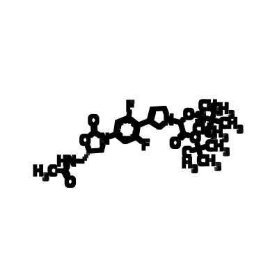 CC(=O)NC[C@H]1CN(c2cc(F)c(C3=CCN([C@@H](O[Si](C)(C)C(C)(C)C)C(=O)OC(C)(C)C)C3)c(F)c2)C(=O)O1